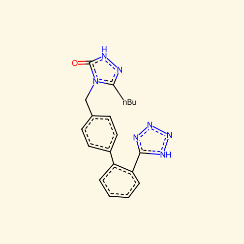 CCCCc1n[nH]c(=O)n1Cc1ccc(-c2ccccc2-c2nnn[nH]2)cc1